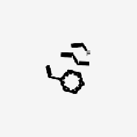 C=CC=C.C=CF.C=Cc1ccccc1